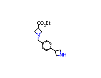 CCOC(=O)C1CN(Cc2ccc(C3CNC3)cc2)C1